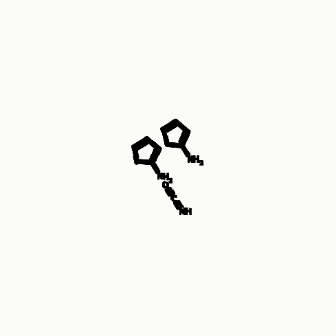 N=C=O.NC1=CC=CC1.NC1=CC=CC1